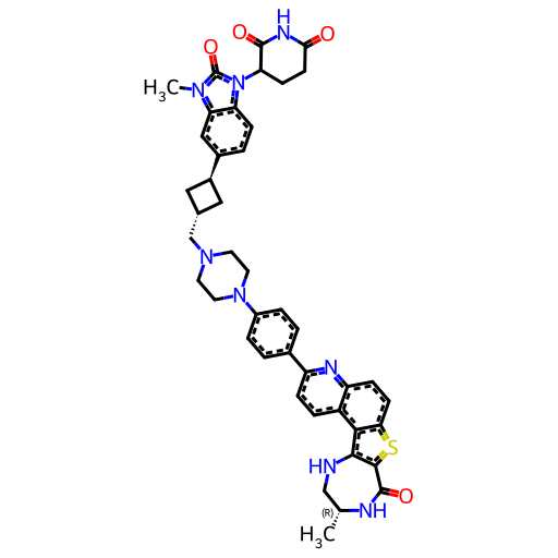 C[C@@H]1CNc2c(sc3ccc4nc(-c5ccc(N6CCN(C[C@H]7C[C@H](c8ccc9c(c8)n(C)c(=O)n9C8CCC(=O)NC8=O)C7)CC6)cc5)ccc4c23)C(=O)N1